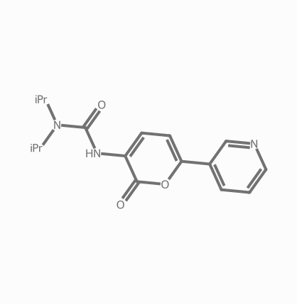 CC(C)N(C(=O)Nc1ccc(-c2cccnc2)oc1=O)C(C)C